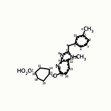 Cc1cccc(Cc2nc3nc(O[C@H]4CC[C@@H](C(=O)O)CC4)ccc3n2C)c1